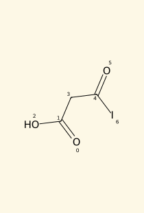 O=C(O)CC(=O)I